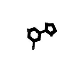 Fc1cncc(-c2nccs2)c1